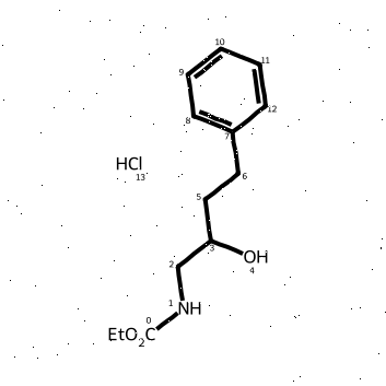 CCOC(=O)NCC(O)CCc1ccccc1.Cl